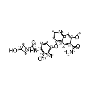 COc1cc2nccc(Oc3ccc(NC(=O)N4CC(O)C4)c(Cl)c3F)c2cc1C(N)=O